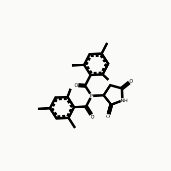 Cc1cc(C)c(C(=O)P(C(=O)c2c(C)cc(C)cc2C)C2CC(=O)NC2=O)c(C)c1